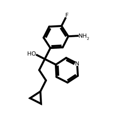 Nc1cc(C(O)(CCC2CC2)c2cccnc2)ccc1F